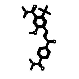 COc1cc(C(=O)N(C)C)c(C(C)(C)C)cc1C=CC(=O)c1ccc(C(=O)N(C)C)cc1